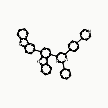 c1ccc(-c2nc(-c3ccc(-c4ccncc4)cc3)cc(-c3ccc(-c4ccc5sc6ccccc6c5c4)c4oc5ccccc5c34)n2)cc1